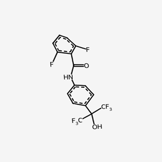 O=C(Nc1ccc(C(O)(C(F)(F)F)C(F)(F)F)cc1)c1c(F)cccc1F